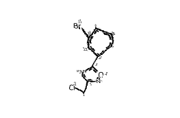 ClCc1noc(-c2cccc(Br)c2)n1